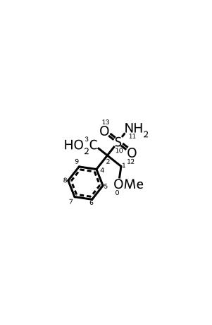 COCC(C(=O)O)(c1ccccc1)S(N)(=O)=O